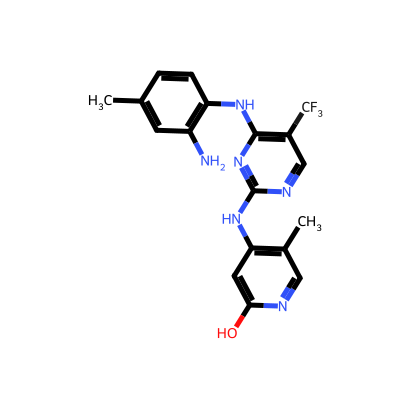 Cc1ccc(Nc2nc(Nc3cc(O)ncc3C)ncc2C(F)(F)F)c(N)c1